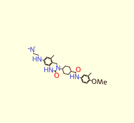 COc1ccc(NC(=O)C2CCC(N3Cc4c(C)cc(NCCN(C)C)cc4NC3=O)CC2)cc1C